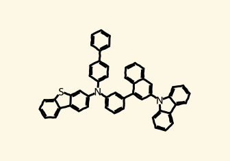 c1ccc(-c2ccc(N(c3cccc(-c4cc(-n5c6ccccc6c6ccccc65)cc5ccccc45)c3)c3ccc4c(c3)sc3ccccc34)cc2)cc1